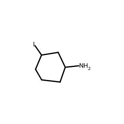 NC1CCCC(I)C1